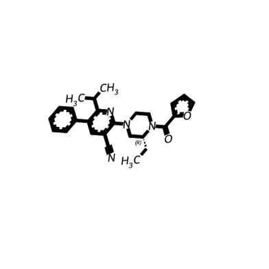 CC[C@@H]1CN(c2nc(C(C)C)c(-c3ccccc3)cc2C#N)CCN1C(=O)c1ccco1